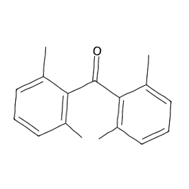 Cc1cccc(C)c1C(=O)c1c(C)cccc1C